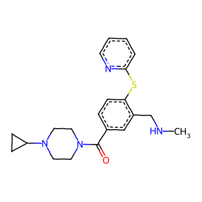 CNCc1cc(C(=O)N2CCN(C3CC3)CC2)ccc1Sc1ccccn1